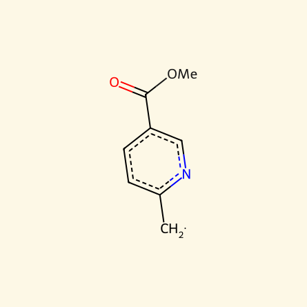 [CH2]c1ccc(C(=O)OC)cn1